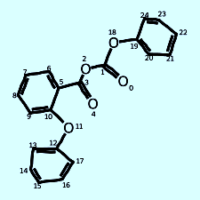 O=C(OC(=O)c1ccccc1Oc1ccccc1)Oc1ccccc1